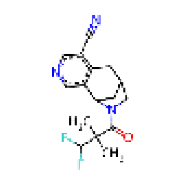 CC(C)(C(=O)N1CC2Cc3c(C#N)cncc3C1C2)C(F)F